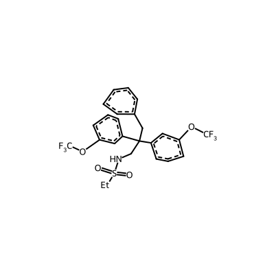 CCS(=O)(=O)NCC(Cc1ccccc1)(c1cccc(OC(F)(F)F)c1)c1cccc(OC(F)(F)F)c1